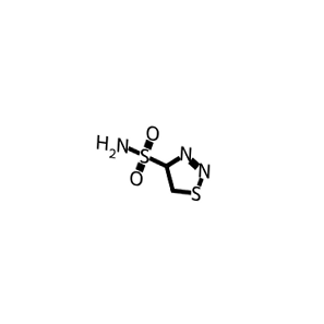 NS(=O)(=O)C1CSN=N1